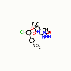 Cn1c(Cn2ccc(C(F)(F)F)c(Oc3cc(Cl)cc(-c4ccc([N+](=O)[O-])cc4)c3)c2=O)n[nH]c1=O